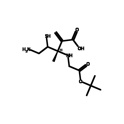 C=C(C(=O)O)[C@](C)(NCC(=O)OC(C)(C)C)C(S)CN